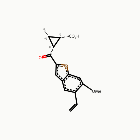 C=Cc1cc2cc(C(=O)[C@@H]3[C@H](C)[C@@H]3C(=O)O)sc2cc1OC